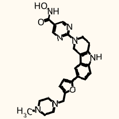 CN1CCN(Cc2ccc(-c3ccc4[nH]c5c(c4c3)CN(c3ncc(C(=O)NO)cn3)CC5)o2)CC1